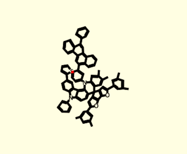 Cc1cc(C)cc(-c2cc3c(o2)-c2oc(-c4cc(C)cc(C)c4)cc2C32c3cc(C)c(C)cc3N(c3cccc(-c4cc5c6ccccc6c(-c6ccccc6)cc5c5ccccc45)c3)c3c2ccc2c3c3cc(-c4cccs4)ccc3n2-c2ccccc2)c1